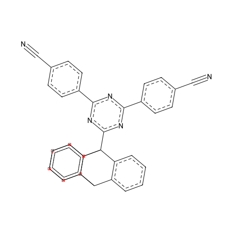 N#Cc1ccc(-c2nc(-c3ccc(C#N)cc3)nc(C34c5ccccc5C(c5ccccc53)c3ccccc34)n2)cc1